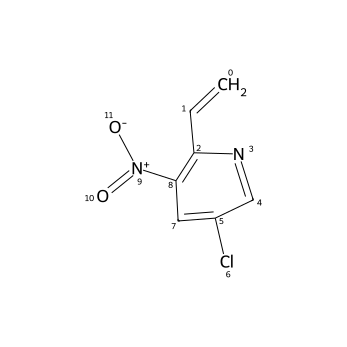 C=Cc1ncc(Cl)cc1[N+](=O)[O-]